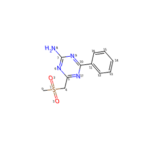 CS(=O)(=O)Cc1nc(N)nc(-c2ccccc2)n1